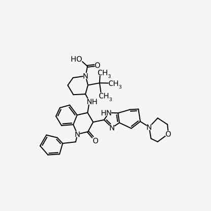 CC(C)(C)C1C(NC2c3ccccc3N(Cc3ccccc3)C(=O)C2c2nc3cc(N4CCOCC4)ccc3[nH]2)CCCN1C(=O)O